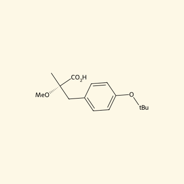 CO[C@@](C)(Cc1ccc(OC(C)(C)C)cc1)C(=O)O